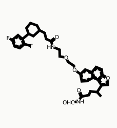 CC(CCC(=O)NC=O)c1coc2ccc3cc(OCCOCCNC(=O)CCC4CCCC(c5cc(F)ccc5F)C4)ccc3c12